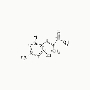 C/C(=C\c1c(Cl)cc(C)cc1Cl)C(=O)O